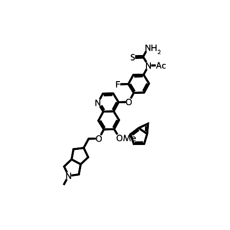 COc1cc2c(Oc3ccc(N(C(C)=O)C(N)=S)cc3F)ccnc2cc1OCC1CC2CN(C)CC2C1.c1cc2cc-2c1